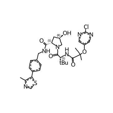 Cc1ncsc1-c1ccc(CNC(=O)[C@@H]2C[C@@H](O)CN2C(=O)[C@@H](NC(=O)C(C)(C)Oc2cnc(Cl)nc2)C(C)(C)C)cc1